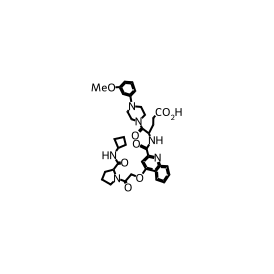 COc1cccc(N2CCN(C(=O)C(CCC(=O)O)NC(=O)c3cc(OCC(=O)N4CCCC4C(=O)NC4CCC4)c4ccccc4n3)CC2)c1